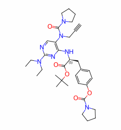 C#CCN(C(=O)N1CCCC1)c1cnc(N(CC)CC)nc1N[C@@H](Cc1ccc(OC(=O)N2CCCC2)cc1)C(=O)OC(C)(C)C